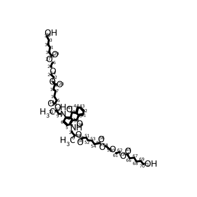 CC(CNc1ccc(NCC(C)OC(=O)CCCCC(=O)OCCOCCOC(=O)CCCCCO)c2c1C(=O)c1ccccc1C2=O)OC(=O)CCCCC(=O)OCCOCCOC(=O)CCCCCO